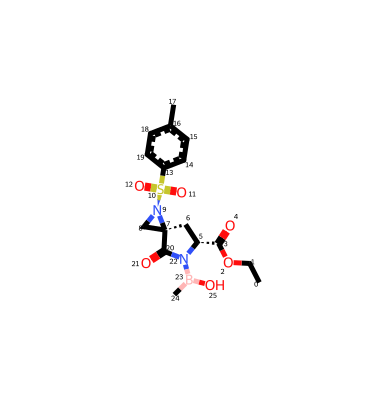 CCOC(=O)[C@H]1C[C@@]2(C[N@@]2S(=O)(=O)c2ccc(C)cc2)C(=O)N1B(C)O